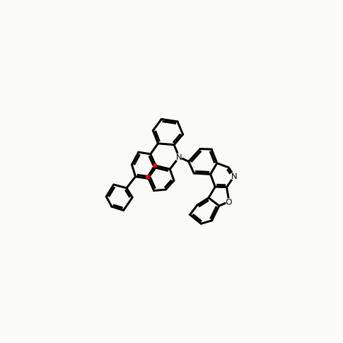 c1ccc(-c2ccc(-c3ccccc3N(c3ccccc3)c3ccc4cnc5oc6ccccc6c5c4c3)cc2)cc1